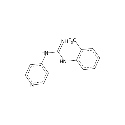 N=C(Nc1ccncc1)Nc1ccccc1C(F)(F)F